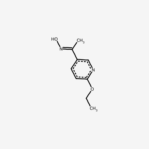 CCOc1ccc(C(C)=NO)cn1